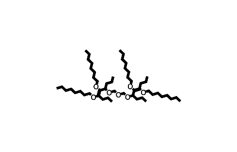 CCCCCCCCOC(CCC)=C(OCCCCCCCC)C(CCC)OCOCOC(CCC)C(OCCCCCCCC)=C(CCC)OCCCCCCCC